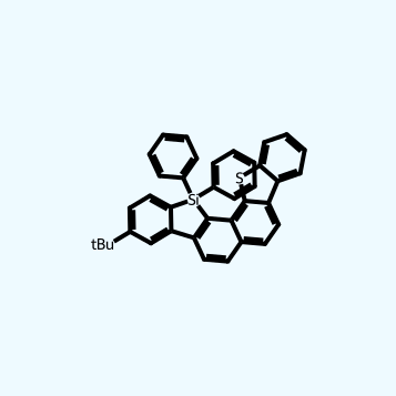 CC(C)(C)c1ccc2c(c1)-c1ccc3ccc4c5ccccc5sc4c3c1[Si]2(c1ccccc1)c1ccccc1